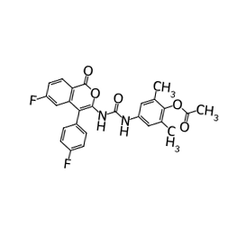 CC(=O)Oc1c(C)cc(NC(=O)Nc2oc(=O)c3ccc(F)cc3c2-c2ccc(F)cc2)cc1C